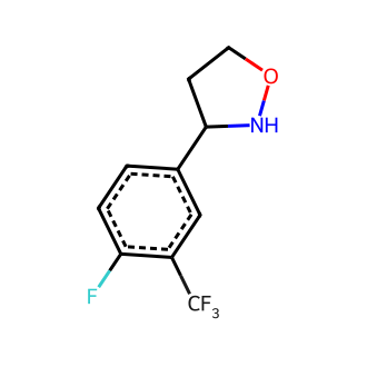 Fc1ccc(C2CCON2)cc1C(F)(F)F